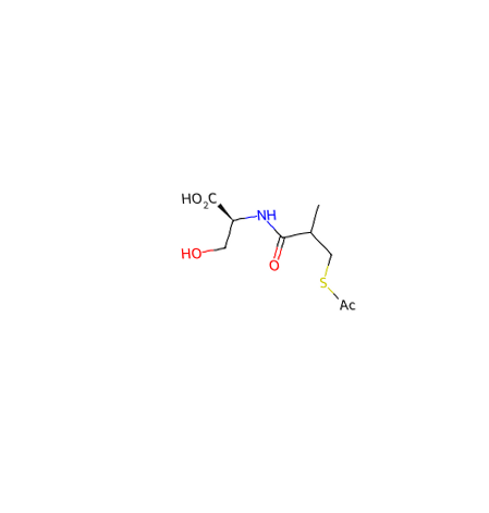 CC(=O)SCC(C)C(=O)N[C@@H](CO)C(=O)O